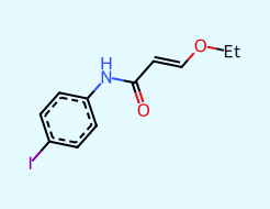 CCOC=CC(=O)Nc1ccc(I)cc1